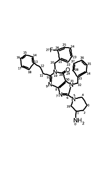 NC1CCCN(c2nc3nc(CCc4ccccc4)n(Cc4ccccc4F)c(=O)c3n2Cc2ccccc2)C1